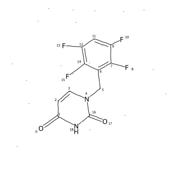 O=c1ccn(Cc2c(F)c(F)cc(F)c2F)c(=O)[nH]1